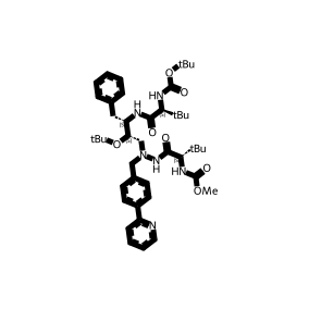 COC(=O)N[C@H](C(=O)NN(Cc1ccc(-c2ccccn2)cc1)C[C@H](OC(C)(C)C)[C@H](Cc1ccccc1)NC(=O)[C@@H](NC(=O)OC(C)(C)C)C(C)(C)C)C(C)(C)C